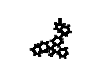 O=C(c1cccnc1)C(C1CCc2ccccc2N1)N1CCN(c2cccc3[nH]ccc23)CC1